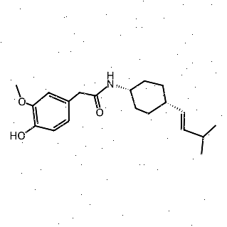 COc1cc(CC(=O)N[C@H]2CC[C@@H](C=CC(C)C)CC2)ccc1O